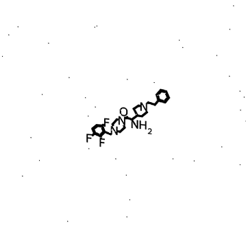 N[C@@H](C(=O)N1CCN(Cc2c(F)ccc(F)c2F)CC1)C1CCN(CCc2ccccc2)CC1